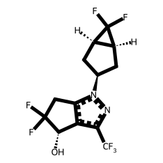 O[C@H]1c2c(C(F)(F)F)nn([C@H]3C[C@@H]4[C@H](C3)C4(F)F)c2CC1(F)F